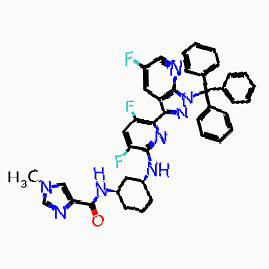 Cn1cnc(C(=O)N[C@@H]2CCC[C@H](Nc3nc(-c4nn(C(c5ccccc5)(c5ccccc5)c5ccccc5)c5ncc(F)cc45)c(F)cc3F)C2)c1